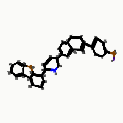 ISc1ccc(-c2ccc3ccc(-c4ccc(-c5cccc6c5sc5ccccc56)nc4)cc3c2)cc1